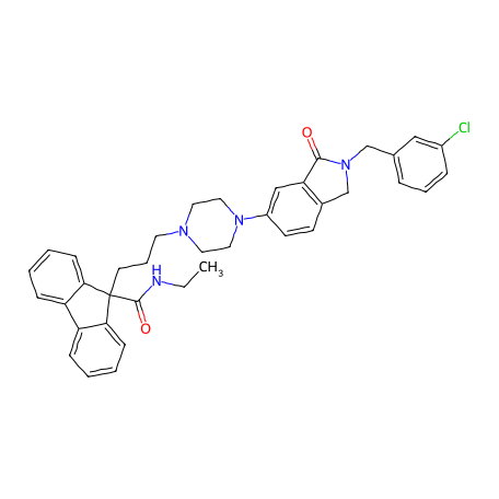 CCNC(=O)C1(CCCN2CCN(c3ccc4c(c3)C(=O)N(Cc3cccc(Cl)c3)C4)CC2)c2ccccc2-c2ccccc21